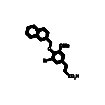 COc1cc(C=CC(=O)O)cc(Br)c1OCc1ccc2ccccc2c1